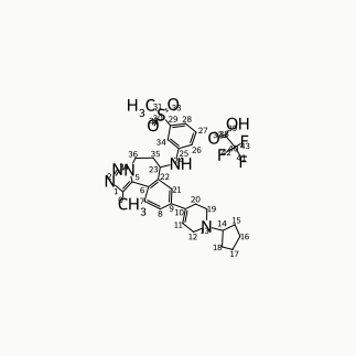 Cc1nnn2c1-c1ccc(C3=CCN(C4CCCC4)CC3)cc1C(Nc1cccc(S(C)(=O)=O)c1)CC2.O=C(O)C(F)(F)F